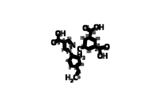 C=Cc1ccc(-n2cc(C(=O)O)cn2)cc1.Cc1cc(C(=O)O)cc(C(=O)O)c1